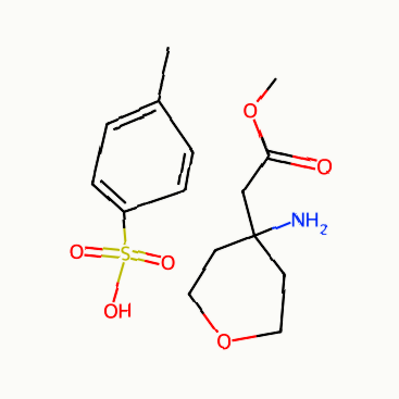 COC(=O)CC1(N)CCOCC1.Cc1ccc(S(=O)(=O)O)cc1